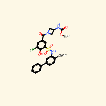 COc1ccc(-c2ccccc2)cc1NS(=O)(=O)c1cc(C(=O)N2CC(NC(=O)OC(C)(C)C)C2)cc(Cl)c1O